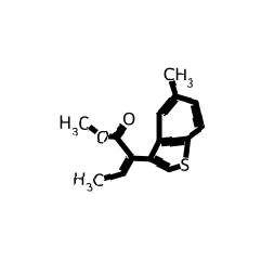 CC=C(C(=O)OC)c1csc2ccc(C)cc12